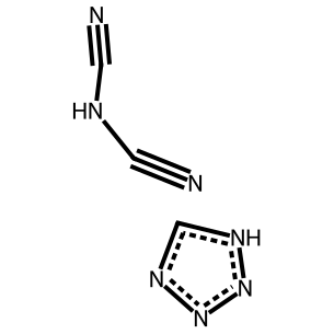 N#CNC#N.c1nnn[nH]1